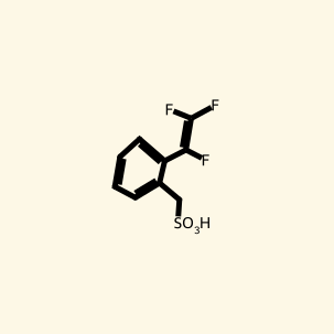 O=S(=O)(O)Cc1ccccc1C(F)=C(F)F